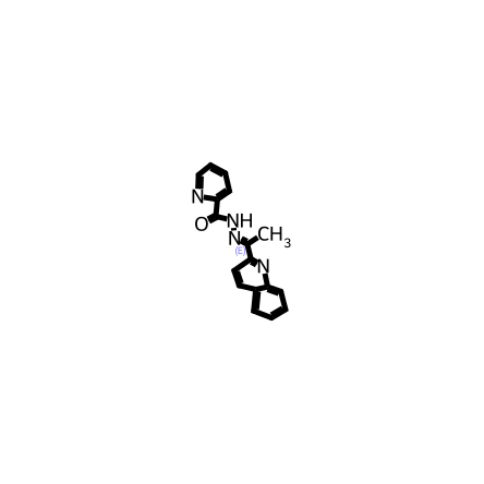 C/C(=N\NC(=O)c1ccccn1)c1ccc2ccccc2n1